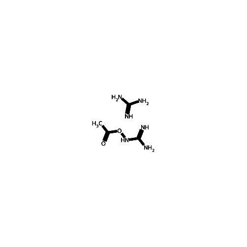 CC(=O)ONC(=N)N.N=C(N)N